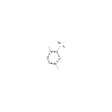 Cc1ccc(S)c(S(N)(=O)=O)c1